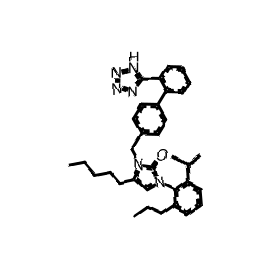 CCCCCc1cn(-c2c(CCC)cccc2C(C)C)c(=O)n1Cc1ccc(-c2ccccc2-c2nnn[nH]2)cc1